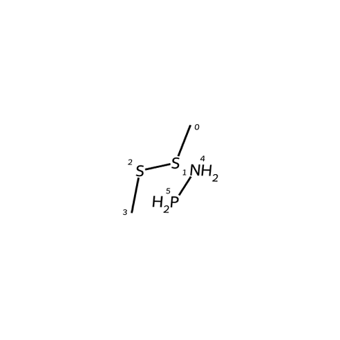 CSSC.NP